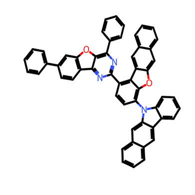 c1ccc(-c2ccc3c(c2)oc2c(-c4ccccc4)nc(-c4ccc(-n5c6ccccc6c6cc7ccccc7cc65)c5oc6cc7ccccc7cc6c45)nc23)cc1